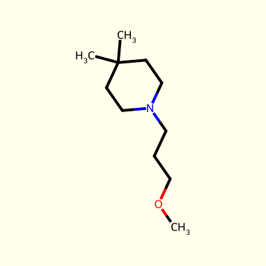 COCCCN1CCC(C)(C)CC1